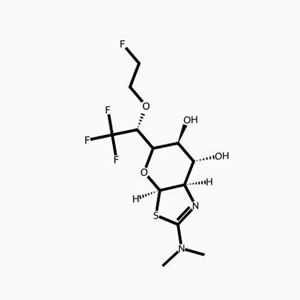 CN(C)C1=N[C@@H]2[C@@H](O)[C@H](O)C([C@@H](OCCF)C(F)(F)F)O[C@@H]2S1